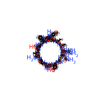 CCCC[C@H]1C(=O)N(C)[C@@H](CCCC)C(=O)N[C@@H](CCCNC(=N)N)C(=O)N[C@H](C(=O)NCC(N)=O)CSCC(=O)N[C@@H](Cc2ccc(O)cc2)C(=O)N(C)[C@@H](C)C(=O)N[C@@H](CC(N)=O)C(=O)N2CCC[C@H]2C(=O)N[C@@H](CCN)C(=O)N[C@@H](CC(C)C)C(=O)N2C[C@H](O)C[C@H]2C(=O)N[C@@H](Cc2c[nH]c3ccccc23)C(=O)N[C@@H](CO)C(=O)N[C@@H](Cc2c(-c3ccc(OC)cc3)[nH]c3ccccc23)C(=O)N1C